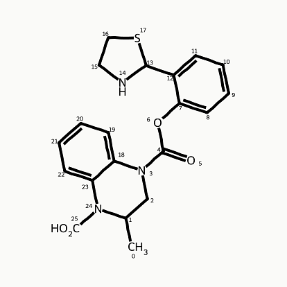 CC1CN(C(=O)Oc2ccccc2C2NCCS2)c2ccccc2N1C(=O)O